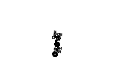 NC(=O)c1c(O)ncn1Cc1ccc(NC(=O)NC2CCCCC2)cc1